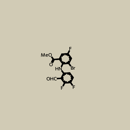 COC(=O)c1cc(F)cc(Br)c1Nc1ccc(F)c(F)c1C=O